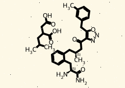 CC(C)CC(CC(=O)O)C(=O)O.Cc1cccc(Cc2onnc2C(=O)C[C@@H](C)Cc2ccccc2C[C@H](N)C(N)=O)c1